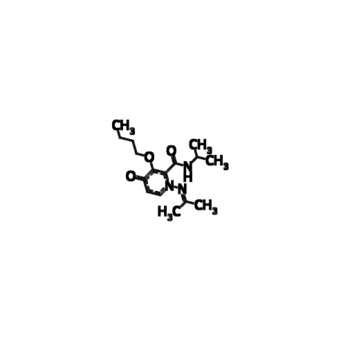 CCCCOc1c(C(=O)NC(C)C)n(N=C(C)C)ccc1=O